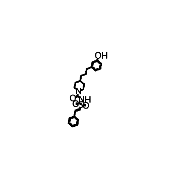 O=C(NS(=O)(=O)C=Cc1ccccc1)N1CCC(CCCc2cccc(O)c2)CC1